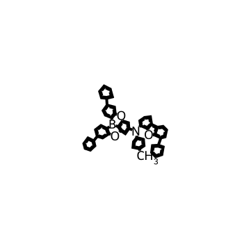 Cc1ccc(N(c2cc3c4c(c2)Oc2cc(-c5ccccc5)ccc2B4c2ccc(-c4ccccc4)cc2O3)c2cccc3c2oc2c(-c4ccccc4)cccc23)cc1